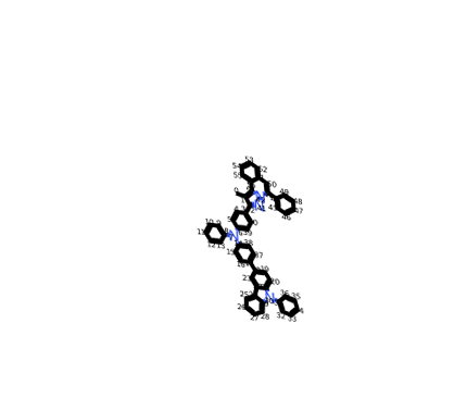 Cc1c(-c2ccc(N(c3ccccc3)c3ccc(-c4ccc5c(c4)c4ccccc4n5-c4ccccc4)cc3)cc2)nn2c(-c3ccccc3)cc3ccccc3c12